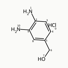 Cl.Nc1ccc(CO)cc1N